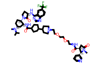 CC(C)N(C)[C@@H]1CC[C@H](N2CC[C@H](Nc3ncnc4ccc(C(F)(F)F)cc34)C2=O)[C@H](NC(=O)C2CCC(C3CCN(CCOCCOCCNC(=O)[C@H]4CC(=O)N(C)[C@@H]4c4cccnc4)CC3)CC2)C1